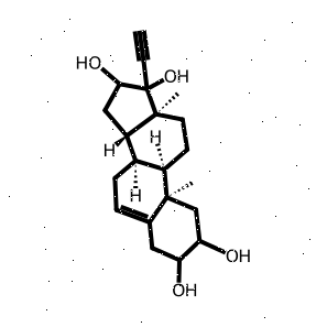 C#CC1(O)C(O)C[C@H]2[C@@H]3CC=C4CC(O)C(O)C[C@]4(C)[C@@H]3CC[C@@]21C